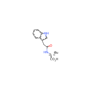 CC[C@H](C)[C@H](NC(=O)Cc1c[nH]c2ccccc12)C(=O)O